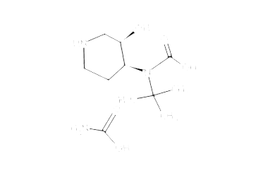 CC(C)(C)N(C(=O)O)[C@H]1CCNC[C@H]1O.NC(=O)O